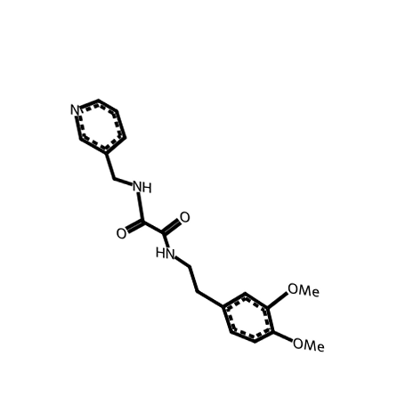 COc1ccc(CCNC(=O)C(=O)NCc2cccnc2)cc1OC